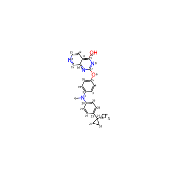 CN(c1ccc(Oc2nc(O)c3ccncc3n2)cc1)c1ccc(C2(C(F)(F)F)CC2)cc1